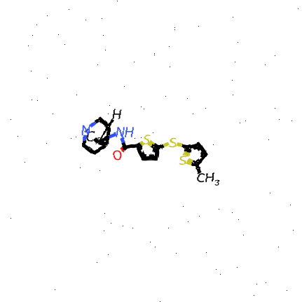 Cc1ccc(Sc2ccc(C(=O)N[C@H]3CN4CCC3CC4)s2)s1